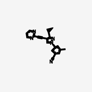 Cc1cc(C#N)cc(-n2cc(C#Cc3ncccn3)c(C3CC3)n2)c1